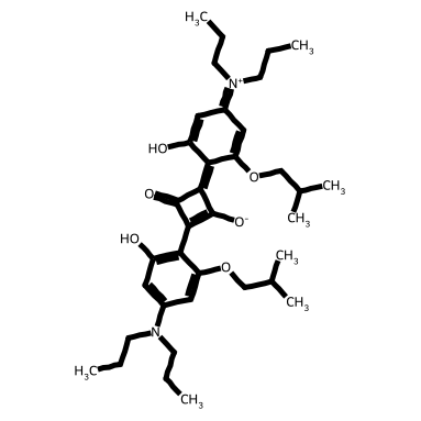 CCCN(CCC)c1cc(O)c(C2=C([O-])/C(=C3/C(O)=CC(=[N+](CCC)CCC)C=C3OCC(C)C)C2=O)c(OCC(C)C)c1